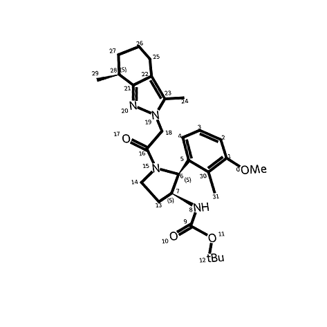 COc1cccc([C@H]2[C@@H](NC(=O)OC(C)(C)C)CCN2C(=O)Cn2nc3c(c2C)CCC[C@@H]3C)c1C